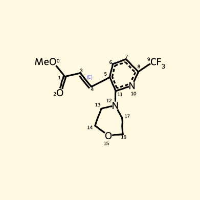 COC(=O)/C=C/c1ccc(C(F)(F)F)nc1N1CCOCC1